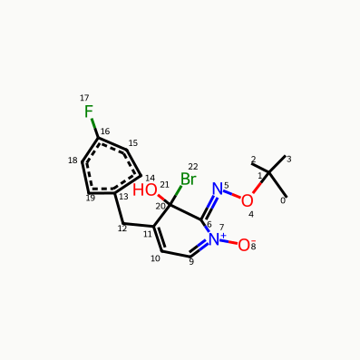 CC(C)(C)ON=C1[N+]([O-])=CC=C(Cc2ccc(F)cc2)C1(O)Br